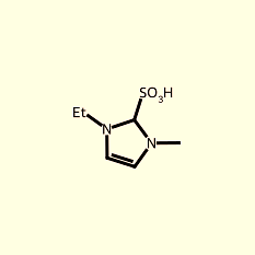 CCN1C=CN(C)C1S(=O)(=O)O